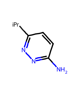 CC(C)c1ccc(N)nn1